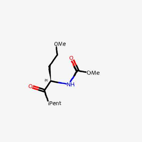 CCCC(C)C(=O)[C@@H](CCOC)NC(=O)OC